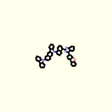 c1ccc2c(-c3ccc4c(c3)oc3ccccc34)nc(-c3cccc4c(-n5c6ccccc6c6cc7cc(-n8c9ccccc9c9ccccc98)ccc7cc65)cccc34)nc2c1